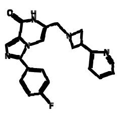 O=c1[nH]c(CN2CC(c3ccccn3)C2)cn2c(-c3ccc(F)cc3)ncc12